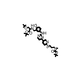 COc1ccc(Nc2nccc(-c3ccc(N(C)CCCN(C)C(=O)OC(C)(C)C)nc3)n2)cc1CNC(COC(C)(C)C)C(=O)OC(C)(C)C